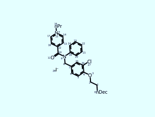 CCCCCCCCCCCCOc1ccc(CN(C(=O)c2cc[n+](CCC)cc2)c2ccccc2)cc1Cl.[I-]